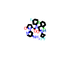 Nc1ccnc(N2C(=O)CC[C@H]2C(=O)N(c2cccc(F)c2)[C@@H](C(=O)NC2CC(F)(F)C2)c2c(Cl)cccc2Cl)c1